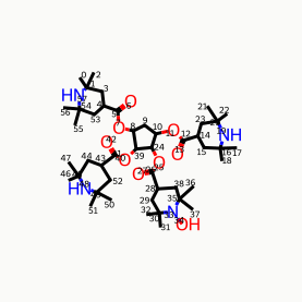 CC1(C)CC(C(=O)OC2CC(OC(=O)C3CC(C)(C)NC(C)(C)C3)C(OC(=O)C3CC(C)(C)N(O)C(C)(C)C3)C2OC(=O)C2CC(C)(C)NC(C)(C)C2)CC(C)(C)N1